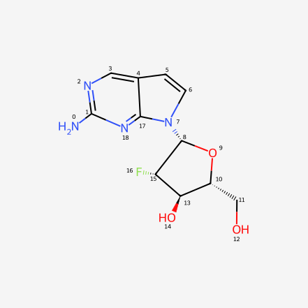 Nc1ncc2ccn([C@@H]3O[C@H](CO)[C@@H](O)[C@@H]3F)c2n1